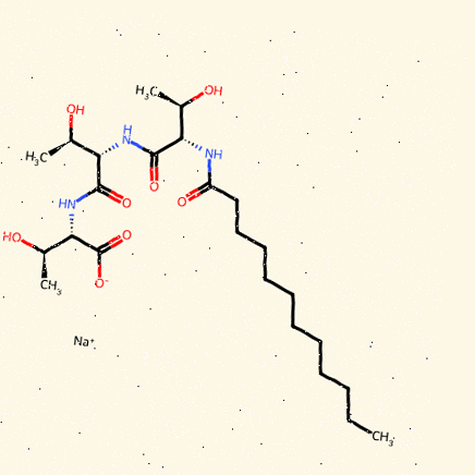 CCCCCCCCCCCC(=O)N[C@H](C(=O)N[C@H](C(=O)N[C@H](C(=O)[O-])[C@@H](C)O)[C@@H](C)O)[C@@H](C)O.[Na+]